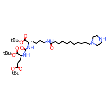 CC(C)(C)OC(=O)CC[C@H](NC(=O)N[C@@H](CCCCNC(=O)CCCCCCCCCCN1CCNCC1)C(=O)OC(C)(C)C)C(=O)OC(C)(C)C